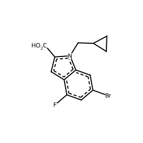 O=C(O)c1cc2c(F)cc(Br)cc2n1CC1CC1